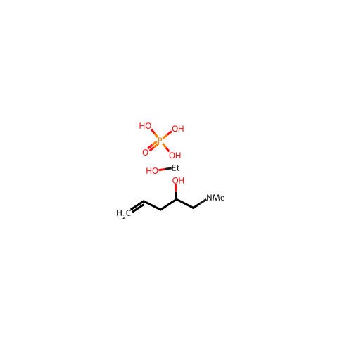 C=CCC(O)CNC.CCO.O=P(O)(O)O